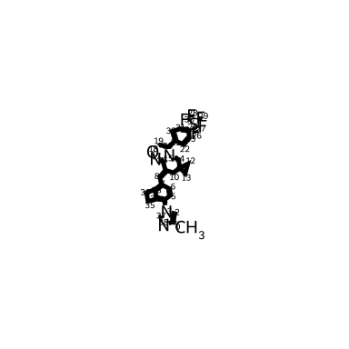 Cc1cn(-c2ccc(/C=C3\CC4(CC4)CN4C3=NOCC4c3ccc(S(F)(F)(F)(F)F)cc3)c3c2CC3)cn1